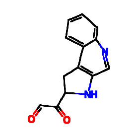 O=CC(=O)C1Cc2c(cnc3ccccc23)N1